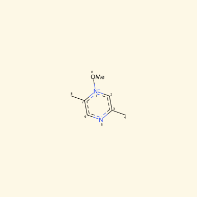 CO[n+]1cc(C)ncc1C